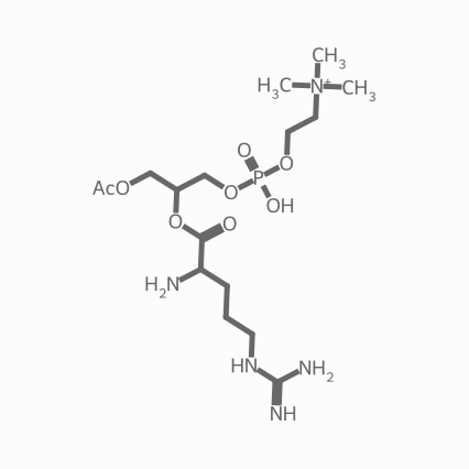 CC(=O)OCC(COP(=O)(O)OCC[N+](C)(C)C)OC(=O)C(N)CCCNC(=N)N